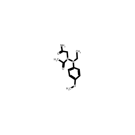 CCN(c1ccc(OC)cc1)N(CC(N)=O)C(C)=O